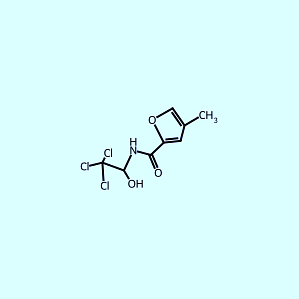 Cc1coc(C(=O)NC(O)C(Cl)(Cl)Cl)c1